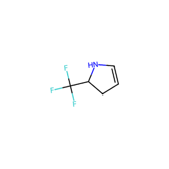 FC(F)(F)C1[CH]C=CN1